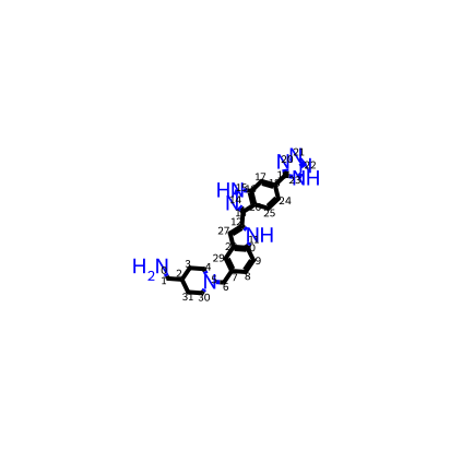 NCC1CCN(Cc2ccc3[nH]c(-c4n[nH]c5cc(-c6nnn[nH]6)ccc45)cc3c2)CC1